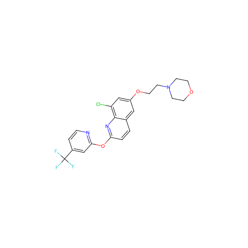 FC(F)(F)c1ccnc(Oc2ccc3cc(OCCN4CCOCC4)cc(Cl)c3n2)c1